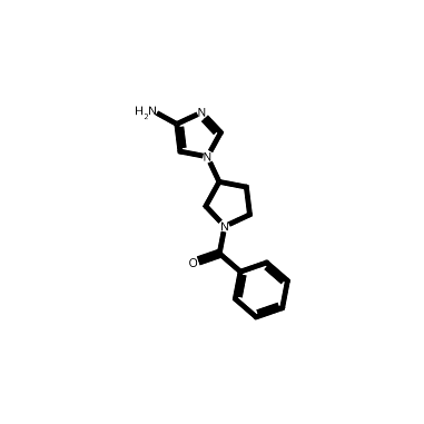 Nc1cn(C2CCN(C(=O)c3ccccc3)C2)cn1